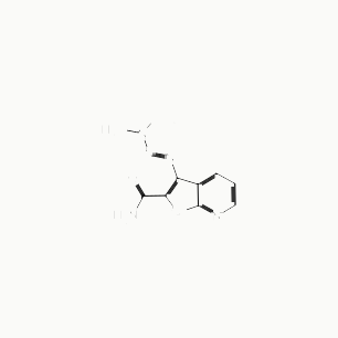 CN(C)/N=N/c1c(C(N)=O)[se]c2ncccc12